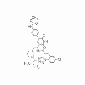 COC(=O)Nc1ccc(-c2cc([C@H](CC3CCCN(C(=O)C(C)C)C3)NC(=O)C=Cc3cc(Cl)ccc3-n3cnnn3)n[nH]c2=O)cc1